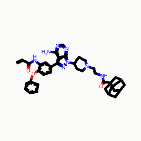 C=CC(=O)Nc1cc(-c2nn(C3CCN(CCNC(=O)C45CC6CC(CC(C6)C4)C5)CC3)c3ncnc(N)c23)ccc1Oc1ccccc1